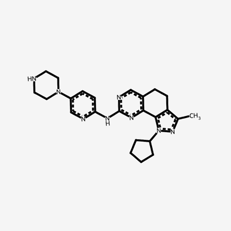 Cc1nn(C2CCCC2)c2c1CCc1cnc(Nc3ccc(N4CCNCC4)cn3)nc1-2